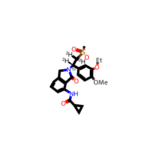 [2H]C([2H])([C@]([2H])(c1ccc(OC)c(OCC)c1)N1Cc2cccc(NC(=O)C3CC3)c2C1=O)S(C)(=O)=O